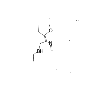 C=N/C(CBCC)=C(/CC)OC